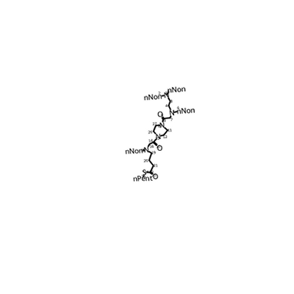 CCCCCCCCCN(CCCCCCCCC)CCN(CCCCCCCCC)CC(=O)N1CCN(C(=O)CN(CCCCCCCCC)CCCC(=O)SCCCCC)CC1